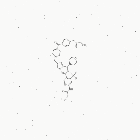 C=CC(=O)Cc1ccc(C(=O)N2CCN(Cc3cc4c(N5CCOCC5)nc(-c5cnc(NC(=O)OC)cc5C(F)(F)F)nn4c3)CC2)cc1